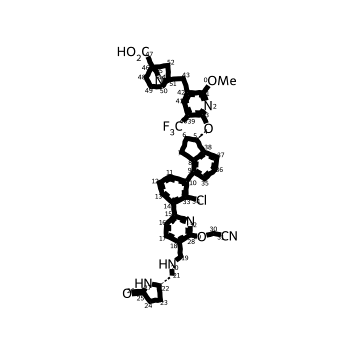 COc1nc(O[C@H]2CCc3c(-c4cccc(-c5ccc(CNC[C@@H]6CCC(=O)N6)c(OCC#N)n5)c4Cl)cccc32)c(C(F)(F)F)cc1CN1CC2(C(=O)O)CCC1CC2